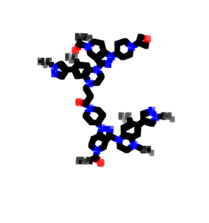 CNC(=O)N1CCc2c(c(N3CCN(C)c4cc(-c5cnn(C)c5)c(C(F)(F)F)cc43)nn2C2CCN(C(=O)CCN3CCN(c4nn(C5CCN(C6COC6)CC5)c5c4CN(C(=O)NC)CC5)c4cc(C(F)(F)F)c(-c5cnn(C)c5)cc43)CC2)C1